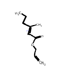 C=CCOC(=O)/C=C(\C)CCC